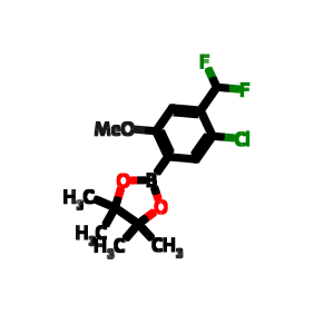 COc1cc(C(F)F)c(Cl)cc1B1OC(C)(C)C(C)(C)O1